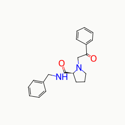 O=C(CN1CCC[C@H]1C(=O)NCc1ccccc1)c1ccccc1